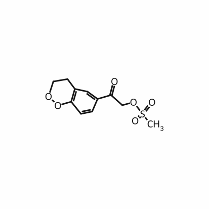 CS(=O)(=O)OCC(=O)c1ccc2c(c1)CCOO2